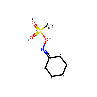 O=S(=O)(ON=C1CCCCC1)C(F)(F)F